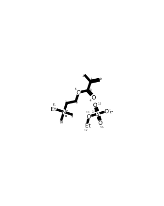 C=C(C)C(=O)OCC[N+](C)(C)CC.CCOS(=O)(=O)[O-]